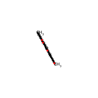 CCCCCCCCCCCCCCCCCCCC[N]CCCCCCCCCCCCCCCCCCCC